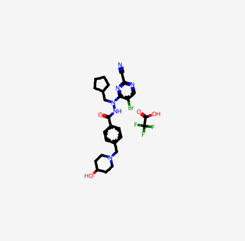 N#Cc1ncc(Br)c(N(CC2CCCC2)NC(=O)c2ccc(CN3CCC(O)CC3)cc2)n1.O=C(O)C(F)(F)F